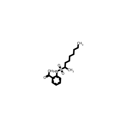 CCCCCCCC(C)S(=O)(=O)Nc1ccccc1C(=O)O